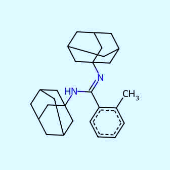 Cc1ccccc1C(=NC12CC3CC(CC(C3)C1)C2)NC12CC3CC(CC(C3)C1)C2